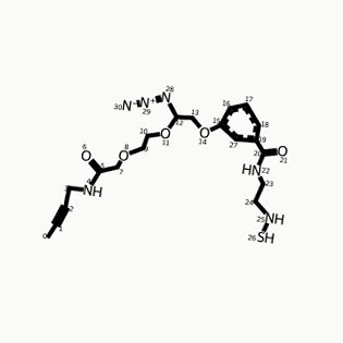 CC#CCNC(=O)COCCOC(COc1cccc(C(=O)NCCNS)c1)N=[N+]=[N-]